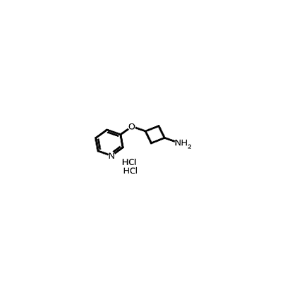 Cl.Cl.NC1CC(Oc2cccnc2)C1